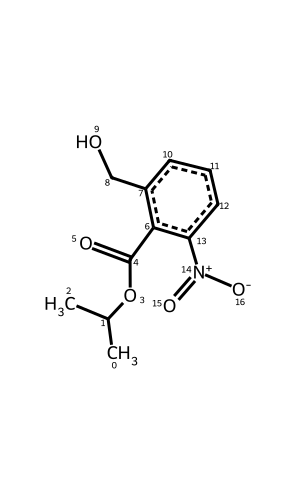 CC(C)OC(=O)c1c(CO)cccc1[N+](=O)[O-]